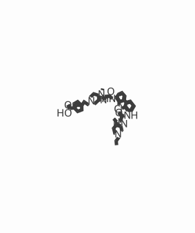 CCCN1CCc2c(nc(C(=O)Nc3cccc(-c4cccc(NC(=O)c5nc6c(n5C)CCN(CCC57CCC(C(=O)O)(CC5)C7)C6)c4C)c3Cl)n2C)C1